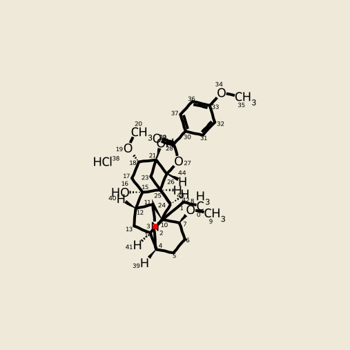 CCN1C[C@@H]2CC[C@H](OC)[C@]34C1[C@H](C[C@H]23)[C@@]1(O)C[C@H](OC)[C@@]2(O)C[C@@H]4[C@@H]1[C@H]2OC(=O)c1ccc(OC)cc1.Cl